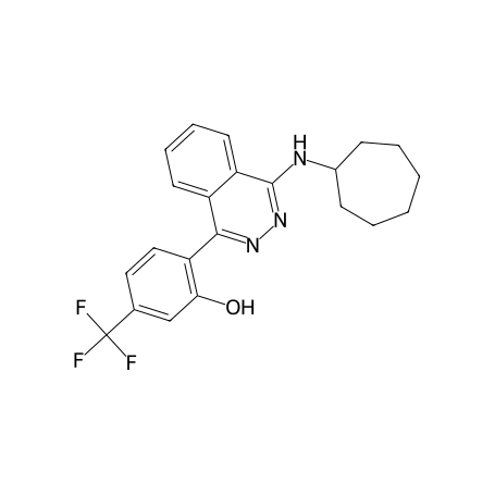 Oc1cc(C(F)(F)F)ccc1-c1nnc(NC2CCCCCC2)c2ccccc12